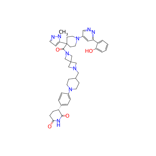 Cn1nccc1C1(C(=O)N2CC3(CN(CC4CCN(c5ccc([C@H]6CCC(=O)NC6=O)cc5)CC4)C3)C2)CCN(c2cnnc(-c3ccccc3O)c2)CC1